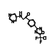 O=C(CNc1cncnc1)c1ccc(-c2noc(C(F)(F)Cl)n2)cc1